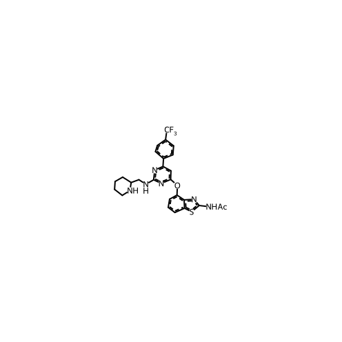 CC(=O)Nc1nc2c(Oc3cc(-c4ccc(C(F)(F)F)cc4)nc(NCC4CCCCN4)n3)cccc2s1